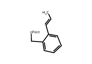 [CH2]/C=C/c1ccccc1CCCCCC